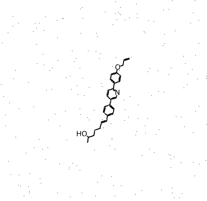 C=CCOc1ccc(-c2ccc(-c3ccc(/C=C/CCCC(C)O)cc3)cn2)cc1